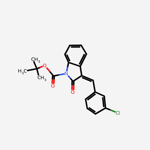 CC(C)(C)OC(=O)N1C(=O)C(=Cc2cccc(Cl)c2)c2ccccc21